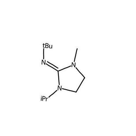 CC(C)N1CCN(C)C1=NC(C)(C)C